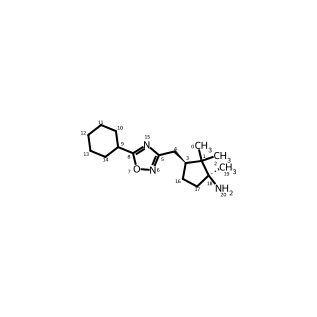 CC1(C)[C@H](Cc2noc(C3CCCCC3)n2)CC[C@]1(C)N